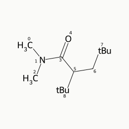 CN(C)C(=O)C(CC(C)(C)C)C(C)(C)C